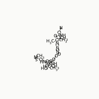 CCc1cc2c(cc1N1CCC(N3CCN(C(=O)COCCOCC(=O)N[C@H](C(=O)N4C[C@H](O)C[C@H]4C(=O)NCc4ccc(-c5scnc5C)cc4)C(C)(C)C)CC3)CC1)C(C)(C)c1[nH]c3cc(C#N)ccc3c1C2=O